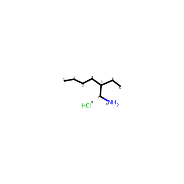 CCCCC(CC)CN.Cl